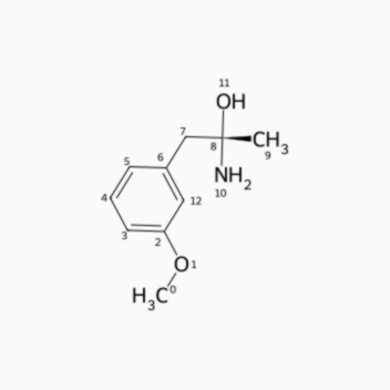 COc1cccc(C[C@@](C)(N)O)c1